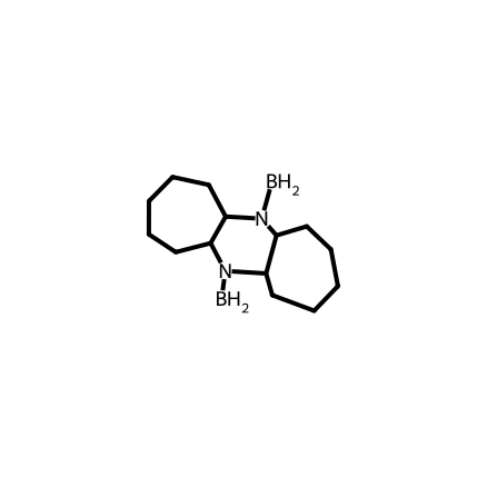 BN1C2CCCCCC2N(B)C2CCCCCC21